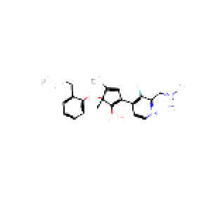 CCNCc1nccc(C2=C(O)C(C)(Oc3ccccc3CC(=O)O)C(CC)=C2)c1F